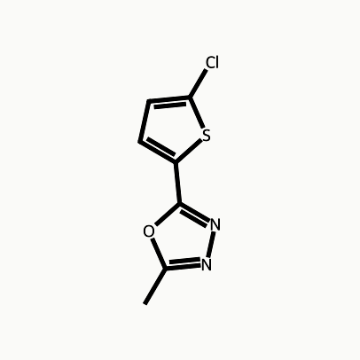 Cc1nnc(-c2ccc(Cl)s2)o1